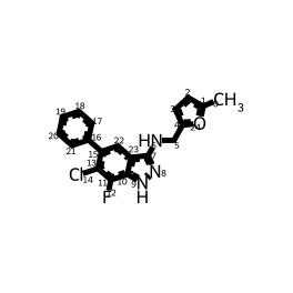 Cc1ccc(CNc2n[nH]c3c(F)c(Cl)c(-c4ccccc4)cc23)o1